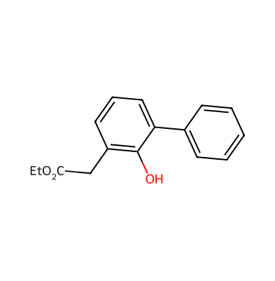 CCOC(=O)Cc1cccc(-c2ccccc2)c1O